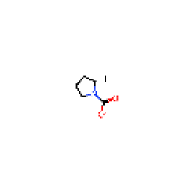 O=C([O-])N1CCCC1.[Li+]